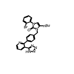 CCCCc1cn(-c2ccccc2Br)c(=O)n1Cc1ccc(-c2ncccc2-c2nnn[nH]2)cc1